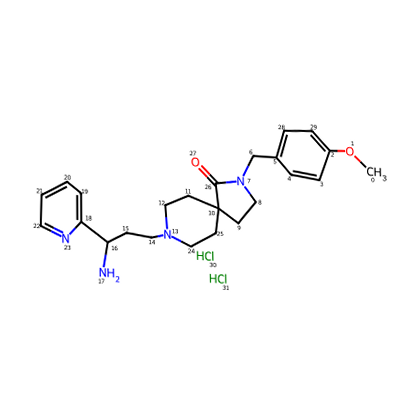 COc1ccc(CN2CCC3(CCN(CCC(N)c4ccccn4)CC3)C2=O)cc1.Cl.Cl